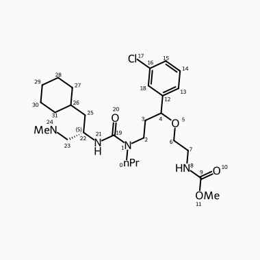 CCCN(CCC(OCCNC(=O)OC)c1cccc(Cl)c1)C(=O)N[C@H](CNC)CC1CCCCC1